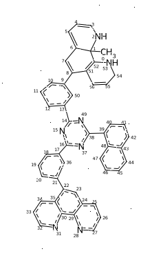 CC12NC=CC=C1C=C(c1cccc(-c3nc(-c4cccc(-c5cc6cccnc6c6ncccc56)c4)nc(-c4cccc5ccccc45)n3)c1)C1=C2NCC=C1